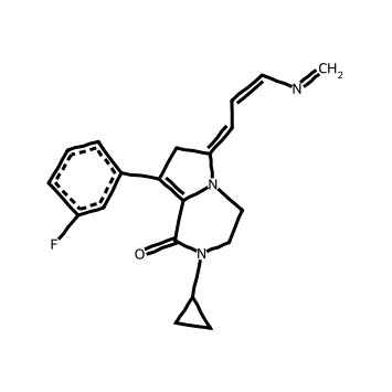 C=N/C=C\C=C1/CC(c2cccc(F)c2)=C2C(=O)N(C3CC3)CCN21